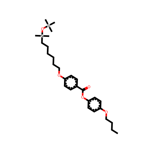 CCCCOc1ccc(OC(=O)c2ccc(OCCCCCC[Si](C)(C)O[Si](C)(C)C)cc2)cc1